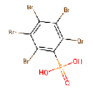 O=P(O)(O)c1c(Br)c(Br)c(Br)c(Br)c1Br